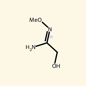 CO/N=C(\N)CO